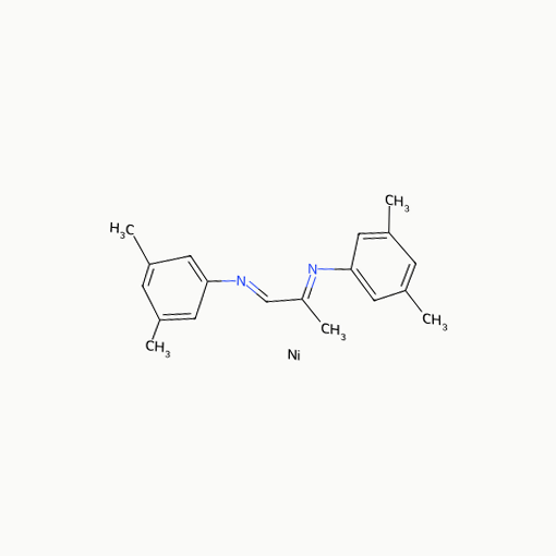 CC(C=Nc1cc(C)cc(C)c1)=Nc1cc(C)cc(C)c1.[Ni]